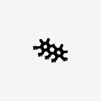 Cc1c(C)c(C(C)C)c(C(C)C)c2c1Sc1c(C)c(C)c(C(C)C)c(C(C)C)c1N2C(C)C